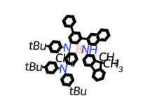 Cc1cc(C(C)(C)C)ccc1N1c2cc(N(c3ccc(C(C)(C)C)cc3)c3ccc(C(C)(C)C)cc3)ccc2Bc2c(-c3cc4ccccc4cc3Nc3ccc4c(c3)C(C)(C)c3ccccc3-4)cc(-c3ccccc3)cc21